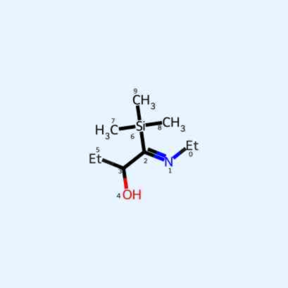 CCN=C(C(O)CC)[Si](C)(C)C